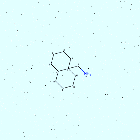 NCC12CCCCC1CCCC2